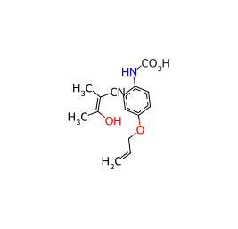 C=CCOc1ccc(NC(=O)O)cc1.CC(O)=C(C)C#N